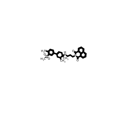 CC1CC(c2ccc(N)c(S(C)(=O)=O)c2)=CCC1(C)NCCCN1C(=O)c2cccc3cccc(c23)C1=O